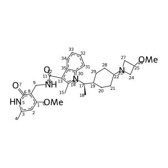 COc1cc(C)[nH]c(=O)c1CNC(=O)c1c(C)n([C@H](C)C2CCC(N3CC(OC)C3)CC2)c2ccccc12